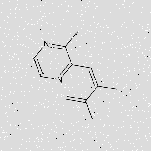 C=C(C)/C(C)=C\c1nccnc1C